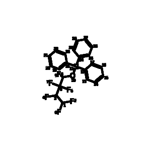 FC(F)C(F)C(F)(F)C(F)O[Si](c1ccccc1)(c1ccccc1)c1ccccc1